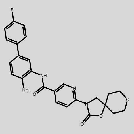 Nc1ccc(-c2ccc(F)cc2)cc1NC(=O)c1ccc(N2CC3(CCOCC3)OC2=O)nc1